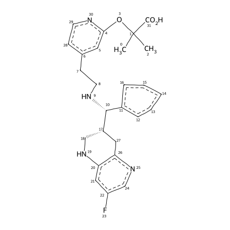 CC(C)(Oc1cc(CCN[C@H](c2ccccc2)[C@H]2CNc3cc(F)cnc3C2)ccn1)C(=O)O